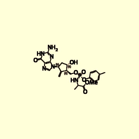 C=C1[C@H](CO[P@@](=O)(NC(C)C(=O)OC)Oc2ccc(C)cc2)[C@@H](O)C[C@@H]1n1cnc2c(=O)[nH]c(N)nc21